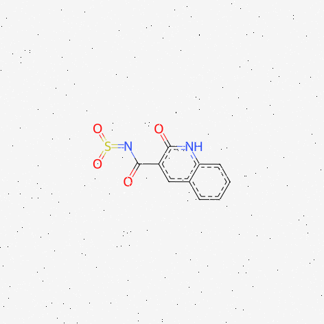 O=C(N=S(=O)=O)c1cc2ccccc2[nH]c1=O